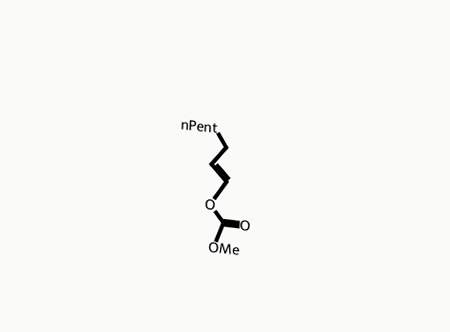 CCCCCCC=COC(=O)OC